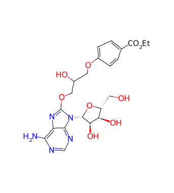 CCOC(=O)c1ccc(OCC(O)COc2nc3c(N)ncnc3n2[C@@H]2O[C@H](CO)[C@@H](O)[C@H]2O)cc1